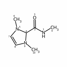 CNC(=O)C1N(C)C=CN1C